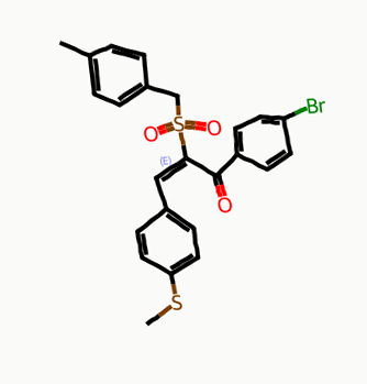 CSc1ccc(/C=C(\C(=O)c2ccc(Br)cc2)S(=O)(=O)Cc2ccc(C)cc2)cc1